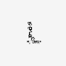 C[C@@]1(C(=O)O)C[C@@H](n2ncc(COc3ccc(-n4cnnn4)nc3)n2)CCN1C(=O)O